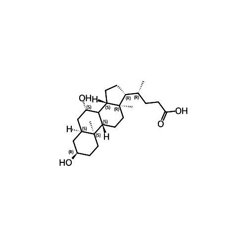 C[C@H](CCC(=O)O)[C@H]1CC[C@H]2C3[C@@H](O)C[C@@H]4C[C@H](O)CC[C@]4(C)[C@H]3CC[C@]12C